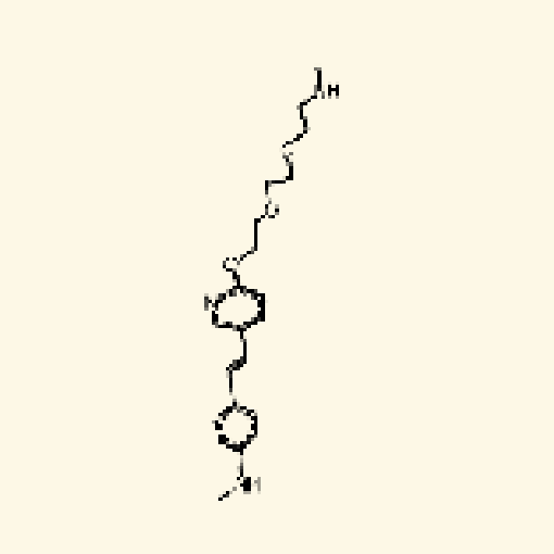 CNCCOCCOCCOc1ccc(/C=C/c2ccc(NC)cc2)cn1